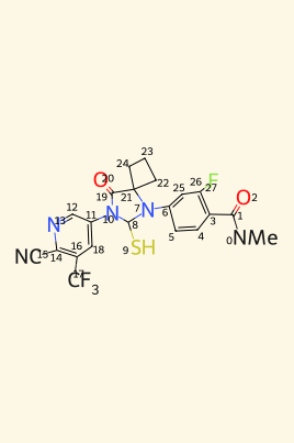 CNC(=O)c1ccc(N2C(S)N(c3cnc(C#N)c(C(F)(F)F)c3)C(=O)C23CCC3)cc1F